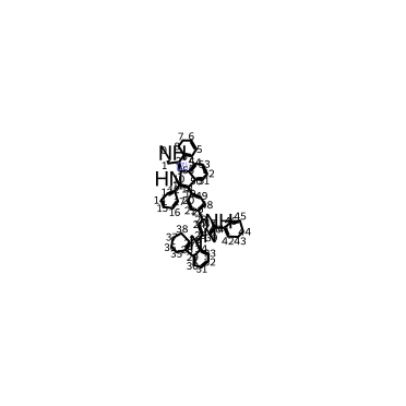 N=C/C(C1=CC=CCC1)=C1\NC(c2ccccc2)=C(c2ccc(C3C=C(n4c5c(c6ccccc64)CCCC5)N=C(C4=CCCC=C4)N3)cc2)c2ccccc21